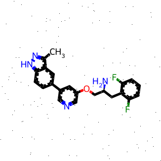 Cc1n[nH]c2ccc(-c3cncc(OC[C@@H](N)Cc4c(F)cccc4F)c3)cc12